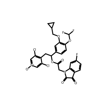 O=C(CN1C(=O)C(=O)c2ccc(F)cc21)OC(Cc1c(Cl)c[n+]([O-])cc1Cl)c1ccc(OC(F)F)c(OCC2CC2)c1